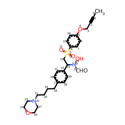 CC#CCOc1ccc(S(=O)(=O)CC(c2ccc(CCCCN3CCOCC3)cc2)N(O)C=O)cc1